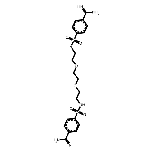 N=C(N)c1ccc(S(=O)(=O)NCCOCCOCCNS(=O)(=O)c2ccc(C(=N)N)cc2)cc1